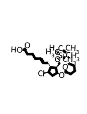 CC(C)(C)[Si](C)(C)OC[C@@H]1[C@@H](CC=CCCCC(=O)O)[C@H](Cl)C[C@H]1OC1CCCCO1